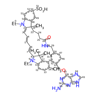 CCN1/C(=C/C=C/C=C/C2=[N+](CC)c3ccc(C)cc3C2(C)C)C(C)(CCCC(=O)NCc2ccc(COc3nc(N)nc4[nH]cnc34)cc2)c2cc(S(=O)(=O)O)ccc21